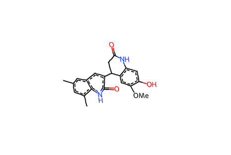 COc1cc2c(cc1O)NC(=O)CC2c1cc2cc(C)cc(C)c2[nH]c1=O